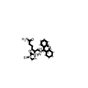 CCN1CS[N+](C(C)C)(C(CCCC(N)=O)CNc2c3c(nc4ccccc24)CCCC3)C1=O